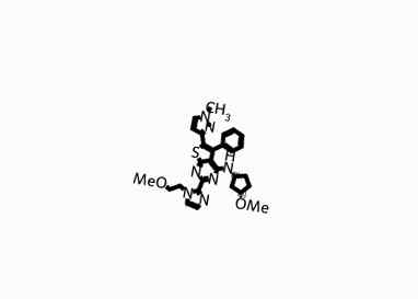 COCCn1ccnc1-c1nc(N[C@@H]2CC[C@H](OC)C2)c2c(-c3ccccc3)c(-c3ccn(C)n3)sc2n1